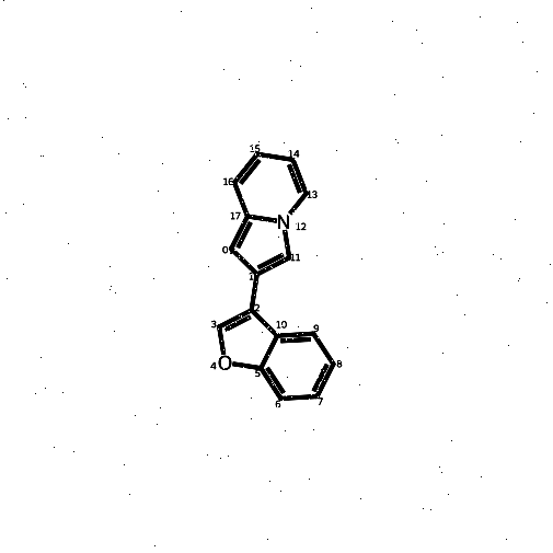 [c]1c(-c2coc3ccccc23)cn2ccccc12